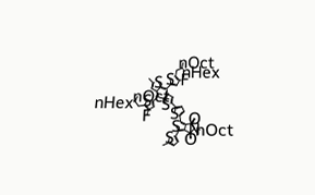 CCCCCCCCC(CCCCCC)Cc1sc(-c2c3cc(-c4ccc(-c5sc(-c6ccc(C)s6)c6c5C(=O)N(CCCCCCCC)C6=O)s4)sc3c(-c3cc(F)c(CC(CCCCCC)CCCCCCCC)s3)c3cc(C)sc23)cc1F